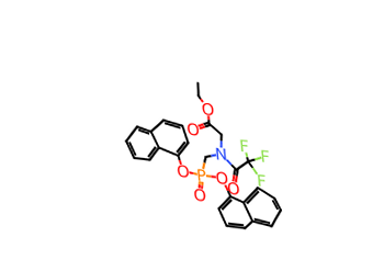 CCOC(=O)CN(CP(=O)(Oc1cccc2ccccc12)Oc1cccc2ccccc12)C(=O)C(F)(F)F